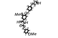 COc1ccc(COC(=O)NC(=N)c2ccc(OCc3ccc(CN4CCNC4)cc3)c(OC)c2)cc1